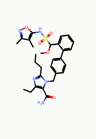 CCCc1nc(CC)c(C(N)=O)n1Cc1ccc(-c2ccccc2C(OC)S(=O)(=O)Nc2onc(C)c2C)cc1